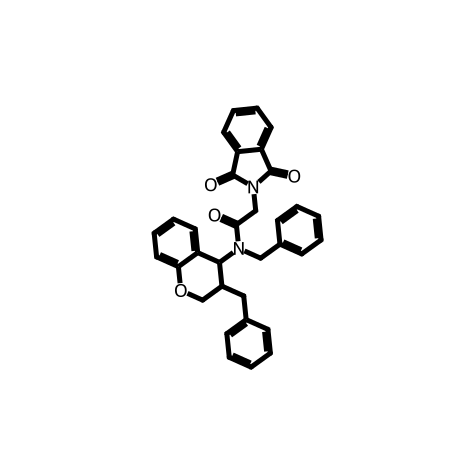 O=C1c2ccccc2C(=O)N1CC(=O)N(Cc1ccccc1)C1c2ccccc2OCC1Cc1ccccc1